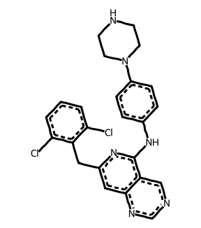 Clc1cccc(Cl)c1Cc1cc2ncncc2c(Nc2ccc(N3CCNCC3)cc2)n1